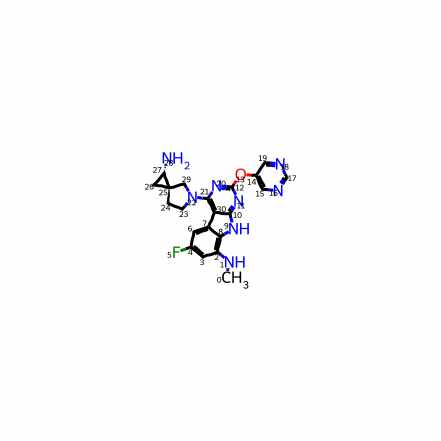 CNc1cc(F)cc2c1[nH]c1nc(Oc3cncnc3)nc(N3CC[C@]4(C[C@@H]4N)C3)c12